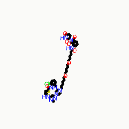 Cc1nc(Nc2ccc(C(=O)Nc3c(C)cccc3Cl)s2)cc(N2CCN(CCCCCCOCCCCCOCCCCCC(=O)Nc3cccc4c3C(=O)N(C3CCC(=O)NC3=O)C4=O)CC2)n1